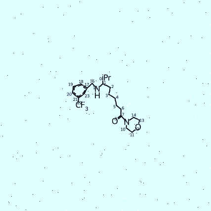 CC(C)C(CCCCCC(=O)N1CCOCC1)NCc1cccc(C(F)(F)F)c1